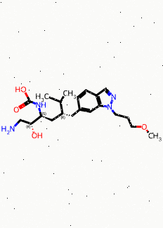 COCCCn1ncc2ccc(C[C@H](C[C@H](NC(=O)O)[C@H](O)CN)C(C)C)cc21